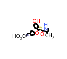 Cc1cc[nH]c1C(=O)c1sc2cc(O)ccc2c1Oc1ccc(/C=C/C(=O)O)cc1